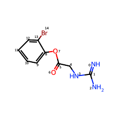 N=C(N)NCC(=O)Oc1ccccc1Br